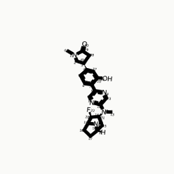 CN1C[C@@H](c2ccc(-c3cnc(N(C)[C@H]4C[C@@H]5CCC(N5)[C@H]4F)cn3)c(O)c2)CC1=O